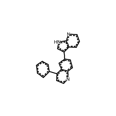 c1ccc(-c2ccnc3ccc(-c4c[nH]c5ncccc45)cc23)cc1